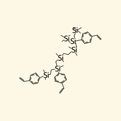 C=Cc1ccc([Si](C)(C)CC[Si](C)(C[Si](C)(C)CC[Si](C)(C)C[Si](C[Si](C)(C)C)(C[Si](C)(C)C)c2ccc(C=C)cc2)c2ccc(C=C)cc2)cc1